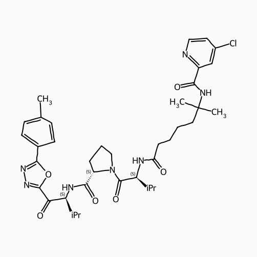 Cc1ccc(-c2nnc(C(=O)[C@@H](NC(=O)[C@@H]3CCCN3C(=O)[C@@H](NC(=O)CCCCC(C)(C)NC(=O)c3cc(Cl)ccn3)C(C)C)C(C)C)o2)cc1